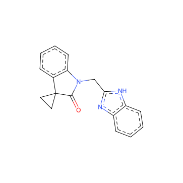 O=C1N(Cc2nc3ccccc3[nH]2)c2ccccc2C12CC2